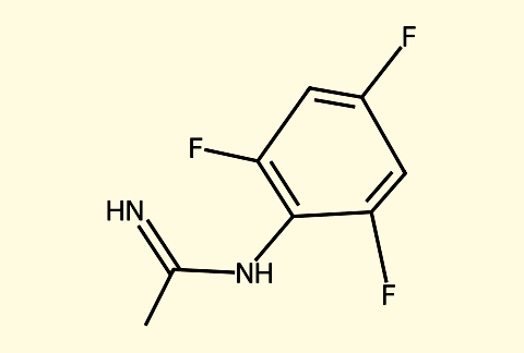 CC(=N)Nc1c(F)cc(F)cc1F